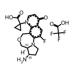 N[C@@H]1CCN2c3c(F)cc4c(=O)ccn(C5(C(=O)O)CC5)c4c3COC[C@H]12.O=C(O)C(F)(F)F